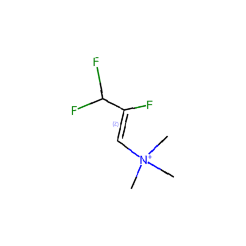 C[N+](C)(C)/C=C(\F)C(F)F